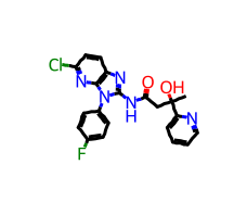 CC(O)(CC(=O)Nc1nc2ccc(Cl)nc2n1-c1ccc(F)cc1)c1ccccn1